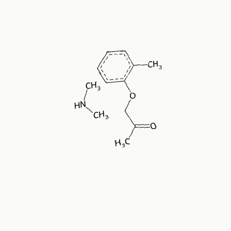 CC(=O)COc1ccccc1C.CNC